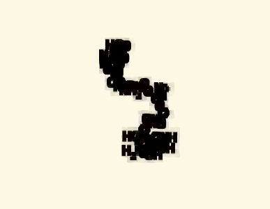 CC1Cc2c(oc3c(S(=O)(=O)O)c(=N)ccc-3c2-c2cc(C(=O)NNC(=O)C3C=CC=C(OCC(N=[N+]=[N-])OCCOCC(=O)NCC#Cc4cn([C@H]5CC(O[C@H](F)N=[N+]=[N-])=C(CO[PH](=O)O[PH](=O)O[PH](=O)O)O5)c(=O)nc4N)C3)ccc2C(=O)O)C(S(=O)(=O)O)=C1N